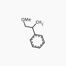 [CH2]C(COC)c1ccccc1